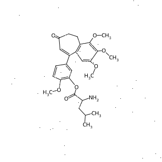 COc1ccc(C2=CC(=O)CCc3c2cc(OC)c(OC)c3OC)cc1OC(=O)C(N)CC(C)C